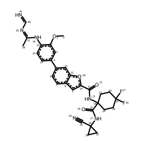 COc1cc(-c2ccc3cc(C(=O)NC4(C(=O)NC5(C#N)CC5)CCC(F)(F)CC4)oc3c2)ccc1N/C(C)=N\C=N